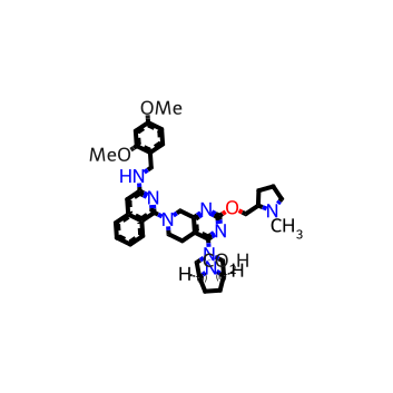 COc1ccc(CNc2cc3ccccc3c(N3CCc4c(nc(OCC5CCCN5C)nc4N4C[C@H]5CC[C@@H](C4)N5C(=O)O)C3)n2)c(OC)c1